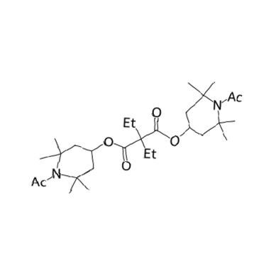 CCC(CC)(C(=O)OC1CC(C)(C)N(C(C)=O)C(C)(C)C1)C(=O)OC1CC(C)(C)N(C(C)=O)C(C)(C)C1